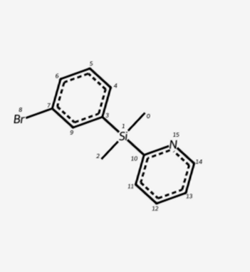 C[Si](C)(c1cccc(Br)c1)c1ccccn1